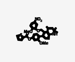 COc1ccc([N+](=O)[O-])cc1OCc1c(-c2ccc(OC(=O)c3cccs3)cc2OC)ccc2c1C(C)=CC(C)(C)N2